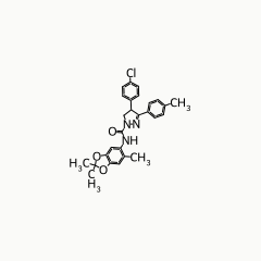 Cc1ccc(C2=NN(C(=O)Nc3cc4c(cc3C)OC(C)(C)O4)CC2c2ccc(Cl)cc2)cc1